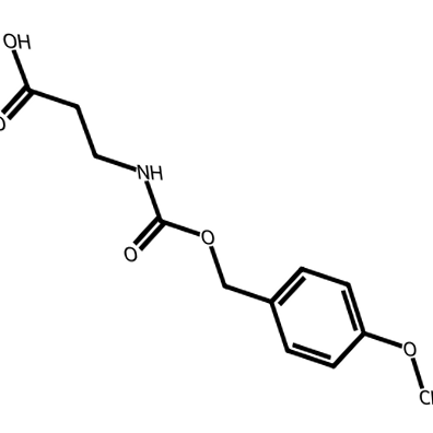 COc1ccc(COC(=O)NCCC(=O)O)cc1